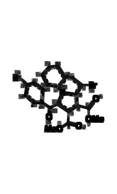 COC(=O)c1c(C(=O)OC)c2c(Br)cc3ccccc3n2c1C(=O)c1ccc(Br)cc1